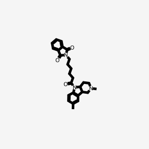 Cc1ccc2c(c1)C1CN(C)CCC1N2C(=O)CCCCCN1C(=O)c2ccccc2C1=O